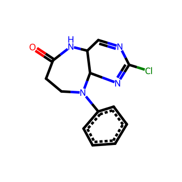 O=C1CCN(c2ccccc2)C2N=C(Cl)N=CC2N1